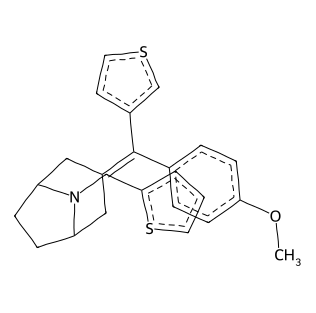 COc1ccc(C(=C2CC3CCC(C2)N3Cc2cccs2)c2ccsc2)cc1